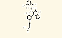 CCCCN(C(=O)Nc1c(C(C)C)cccc1C(C)C)c1c(-c2cccc(C#CCN(CC)CC)c2)c2cccnc2[nH]c1=O